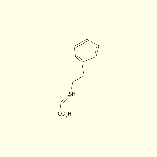 O=C(O)C=[SH]CCc1ccccc1